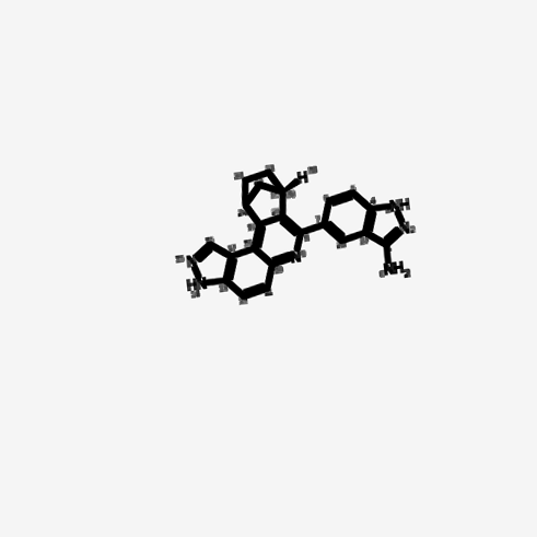 Nc1n[nH]c2ccc(-c3nc4ccc5[nH]ncc5c4c4c3[C@H]3CCC4C3)cc12